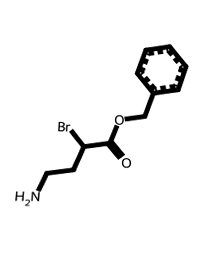 NCCC(Br)C(=O)OCc1ccccc1